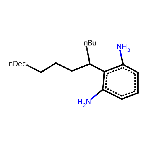 CCCCCCCCCCCCCC(CCCC)c1c(N)cccc1N